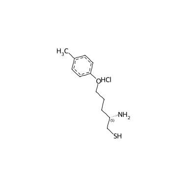 Cc1ccc(OCCC[C@H](N)CS)cc1.Cl